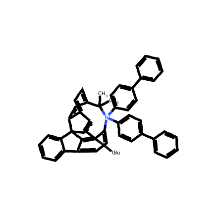 CC(C)(C)c1ccc2c(c1)C13c4ccccc4-c4ccc(cc41)[N+](c1ccc(-c4ccccc4)cc1)(c1ccc(-c4ccccc4)cc1)C(C)(C)c1ccc-2c3c1